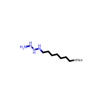 CCCCCCCCCCCCCNNNN